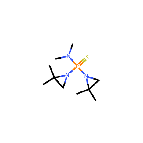 CN(C)P(=S)(N1CC1(C)C)N1CC1(C)C